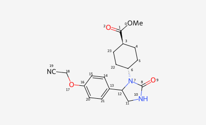 COC(=O)[C@H]1CC[C@H](N2C(=O)NCC2c2ccc(OCC#N)cc2)CC1